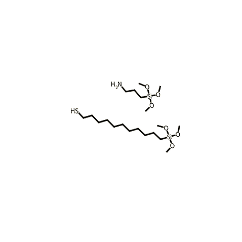 CO[Si](CCCCCCCCCCCS)(OC)OC.CO[Si](CCCN)(OC)OC